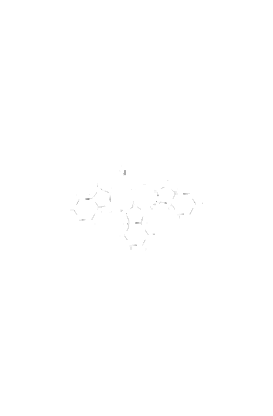 NC(c1nc2ccccc2s1)C(Cc1nc2ccccc2s1)c1nc2ccccc2s1